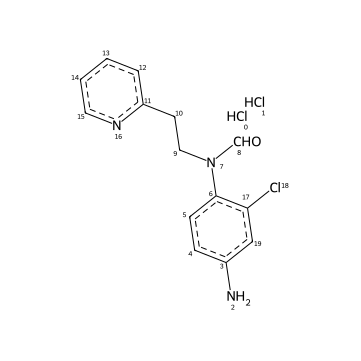 Cl.Cl.Nc1ccc(N(C=O)CCc2ccccn2)c(Cl)c1